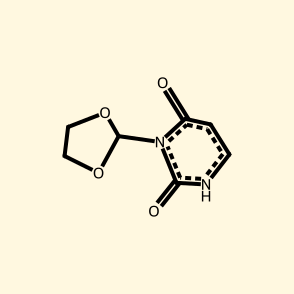 O=c1cc[nH]c(=O)n1C1OCCO1